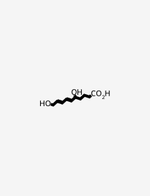 O=C(O)CCCC(O)/C=C/C=C/CO